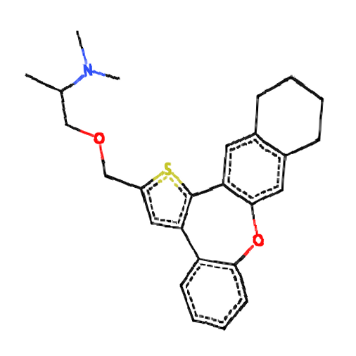 CC(COCc1cc2c(s1)-c1cc3c(cc1Oc1ccccc1-2)CCCC3)N(C)C